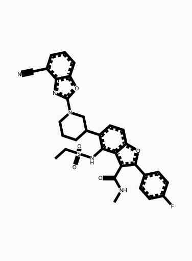 CCS(=O)(=O)Nc1c(C2CCCN(c3nc4c(C#N)cccc4o3)C2)ccc2oc(-c3ccc(F)cc3)c(C(=O)NC)c12